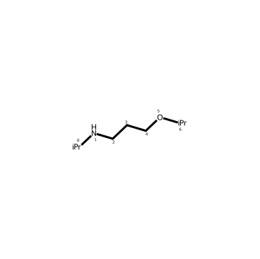 CC(C)NCCCOC(C)C